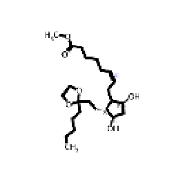 CCCCCC1(CC[C@@H]2C(C/C=C\CCCCC(=O)OC)[C@@H](O)C[C@H]2O)OCCO1